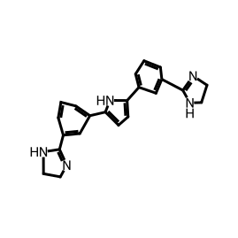 c1cc(C2=NCCN2)cc(-c2ccc(-c3cccc(C4=NCCN4)c3)[nH]2)c1